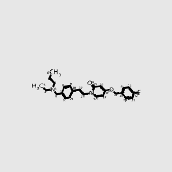 CCCN(CC)Cc1ccc(CCn2ccc(OCc3ccc(F)cc3)cc2=O)cc1